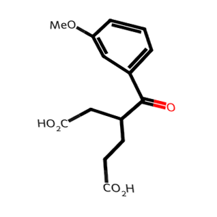 COc1cccc(C(=O)C(CCC(=O)O)CC(=O)O)c1